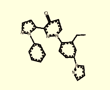 CCc1cc(-n2cccn2)ccc1-n1ccc(=O)c(-c2ccnn2-c2ccccc2)n1